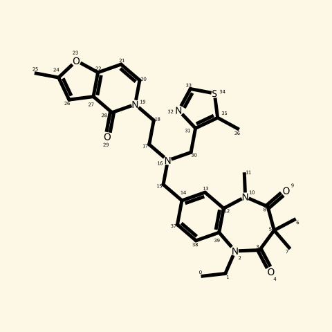 CCN1C(=O)C(C)(C)C(=O)N(C)c2cc(CN(CCn3ccc4oc(C)cc4c3=O)Cc3ncsc3C)ccc21